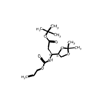 C=CCOC(=O)N[C@@H](CC(=O)OC(C)(C)C)[C@@H]1COC(C)(C)O1